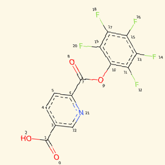 O=C(O)c1ccc(C(=O)Oc2c(F)c(F)c(F)c(F)c2F)nc1